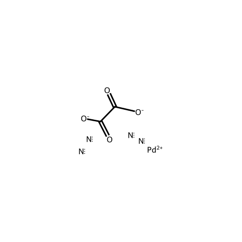 O=C([O-])C(=O)[O-].[N].[N].[N].[N].[Pd+2]